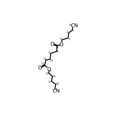 N#CCCCCOC(=O)CCCCC(=O)OCCCCC#N